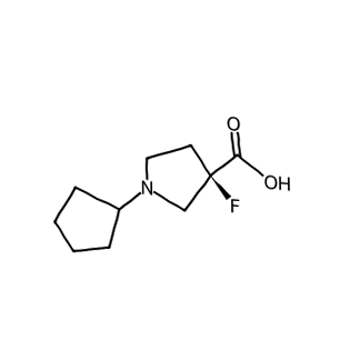 O=C(O)[C@@]1(F)CCN(C2CCCC2)C1